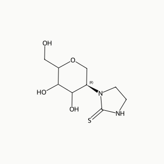 OCC1OC[C@@H](N2CCNC2=S)C(O)C1O